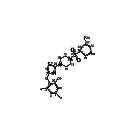 Cc1cc(C)c(Cc2csc(N3CCN(S(=O)(=O)c4cccc(F)c4)CC3)n2)c(C)c1